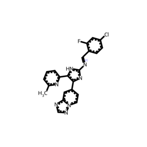 Cc1cccc(-c2[nH]c(/N=C/c3ccc(Cl)cc3F)nc2-c2ccn3ncnc3c2)n1